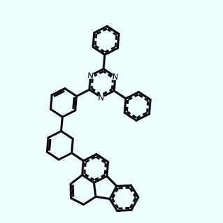 C1=CC(C2C=C(c3nc(-c4ccccc4)nc(-c4ccccc4)n3)C=CC2)CC(c2ccc3c4c2C=CCC4c2ccccc2-3)C1